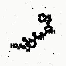 O=C(NOC[C@H]1C[C@H](n2cnc3ccccc32)CN1)[C@@H]1CC[C@@H]2CN1C(=O)N2OS(=O)(=O)O